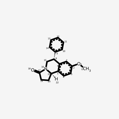 COc1ccc2c(c1)[C@@H](c1ccccc1)CN1C(=O)CC[C@H]21